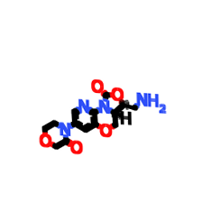 NC[C@@H]1OC(=O)N2c3ncc(N4CCOCC4=O)cc3OC[C@@H]12